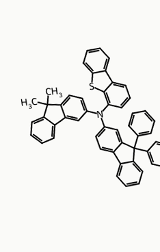 CC1(C)c2ccccc2-c2cc(N(c3ccc4c(c3)C(c3ccccc3)(c3ccccc3)c3ccccc3-4)c3cccc4c3sc3ccccc34)ccc21